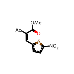 COC(=O)C(=Cc1ccc([N+](=O)[O-])s1)C(C)=O